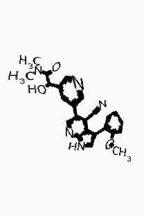 COc1ccccc1-c1c[nH]c2ncc(-c3cncc(C(O)C(=O)N(C)C)c3)c(C#N)c12